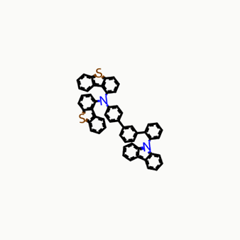 c1cc(-c2ccc(N(c3cccc4sc5ccccc5c34)c3cccc4sc5ccccc5c34)cc2)cc(-c2ccccc2-n2c3ccccc3c3ccccc32)c1